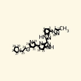 Cc1cn(-c2cccc3[nH]c(-c4n[nH]c5ccc(-c6cncc(OCCN7CCCC7)c6)nc45)nc23)cn1